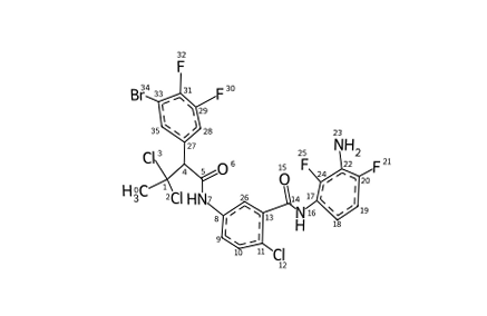 CC(Cl)(Cl)C(C(=O)Nc1ccc(Cl)c(C(=O)Nc2ccc(F)c(N)c2F)c1)c1cc(F)c(F)c(Br)c1